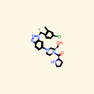 Cc1cc(Cl)ccc1[C@@H](C)n1nnc2ccc(N3CCN(C(=O)[C@H]4CCCN4)[C@H](CO)C3)cc21